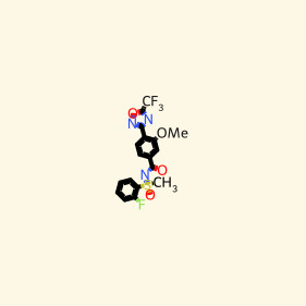 COc1cc(C(=O)N=S(C)(=O)c2ccccc2F)ccc1-c1noc(C(F)(F)F)n1